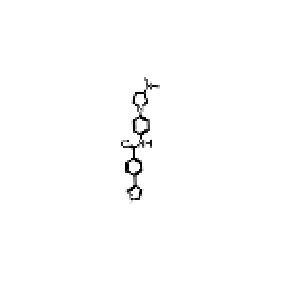 CN(C)C1CCN(c2ccc(NC(=O)c3ccc(-c4ccsc4)cc3)cc2)C1